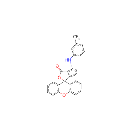 O=C1OC2(c3ccccc3Oc3ccccc32)c2cccc(Nc3cccc(C(F)(F)F)c3)c21